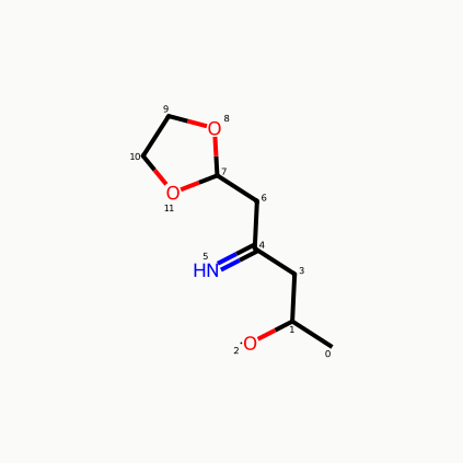 CC([O])CC(=N)CC1OCCO1